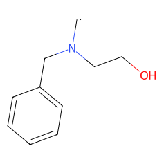 [CH2]N(CCO)Cc1ccccc1